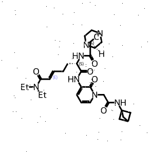 CCN(CC)C(=O)/C=C/CC[C@H](NC(=O)[C@@H]1CN2CCN1CC2)C(=O)Nc1cccn(CC(=O)NC23CC(C2)C3)c1=O